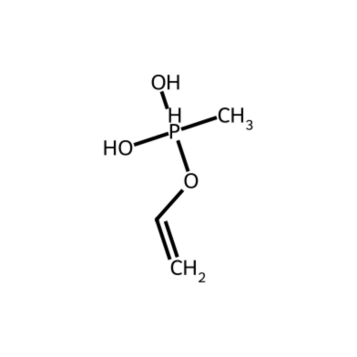 C=CO[PH](C)(O)O